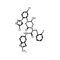 Cn1cc2cc(NC(=O)C(Cc3ccccc3F)N3CC(O)N(c4cc(Cl)ccc4-n4cc(Cl)nn4)CC3=O)ccc2n1